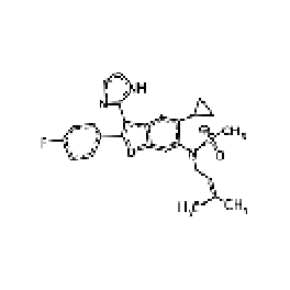 CC(C)=CCN(c1cc2oc(-c3ccc(F)cc3)c(-c3ncc[nH]3)c2cc1C1CC1)S(C)(=O)=O